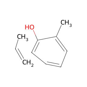 C=CC.Cc1ccccc1O